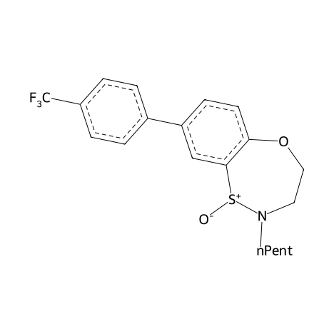 CCCCCN1CCOc2ccc(-c3ccc(C(F)(F)F)cc3)cc2[S+]1[O-]